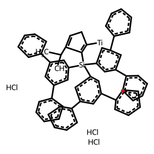 CC(C)C1=CC[C]([Ti])=C1[Si](c1cc(-c2ccccc2)cc(-c2ccccc2)c1)(c1cc(-c2ccccc2)cc(-c2ccccc2)c1)c1cc(-c2ccccc2)cc(-c2ccccc2)c1.Cl.Cl.Cl